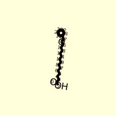 O=C(O)CCCCCCCCCCCCCOCc1ccccc1